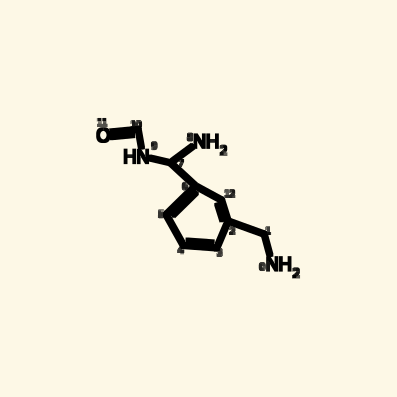 NCc1cccc(C(N)NC=O)c1